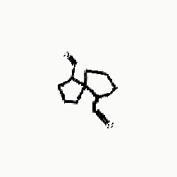 O=CC1CCCC12CCCC2C=O